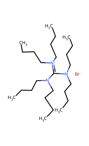 CCCCN(CCCC)C(N(CCCC)CCCC)=[N+](CCCC)CCCC.[Br-]